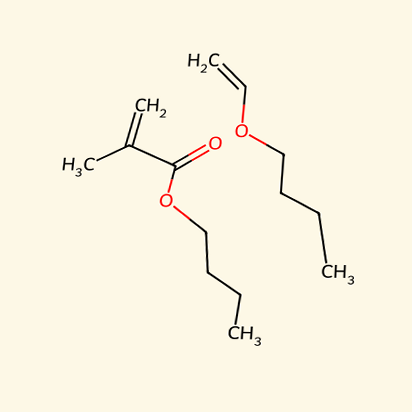 C=C(C)C(=O)OCCCC.C=COCCCC